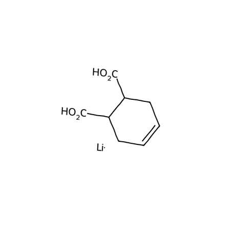 O=C(O)C1CC=CCC1C(=O)O.[Li]